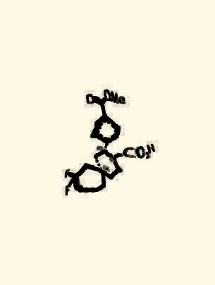 COC(=O)c1ccc([C@H]2C[C@]3(CCN2C(=O)O)CCC(F)(F)C3)cc1